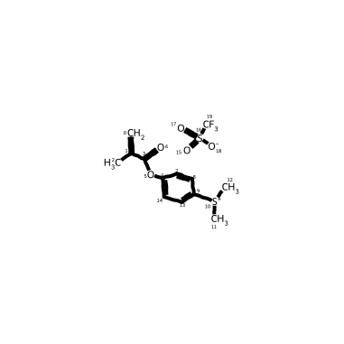 C=C(C)C(=O)Oc1ccc([S+](C)C)cc1.O=S(=O)([O-])C(F)(F)F